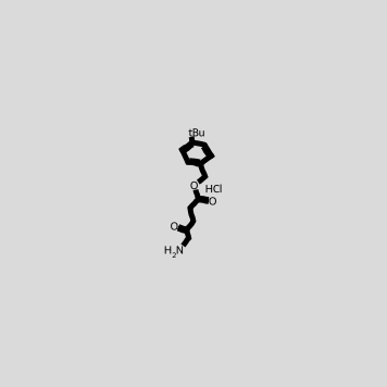 CC(C)(C)c1ccc(COC(=O)CCC(=O)CN)cc1.Cl